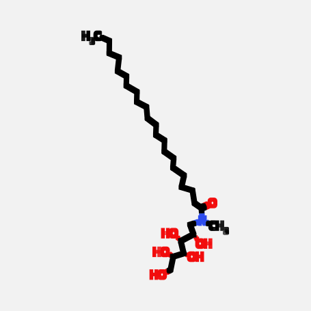 CCCCCCCCCCCCCCCCCCCCCC(=O)N(C)C[C@H](O)[C@@H](O)[C@H](O)[C@H](O)CO